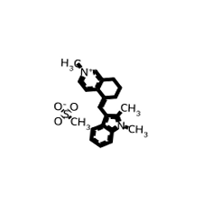 CS(=O)(=O)[O-].Cc1c(C=C2CCCc3c[n+](C)ccc32)c2ccccc2n1C